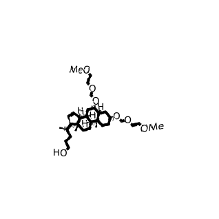 COCCOCO[C@@H]1CC[C@]2(C)[C@H]3CC[C@]4(C)[C@@H]([C@H](C)CCCO)CC[C@H]4[C@@H]3C[C@H](OCOCCOC)[C@@H]2C1